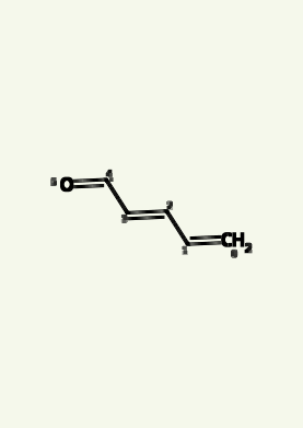 C=CC=C[C]=O